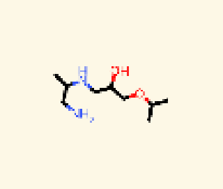 CC(CN)NCC(O)COC(C)C